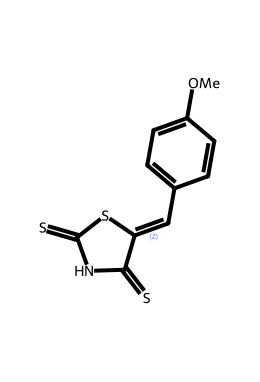 COc1ccc(/C=C2\SC(=S)NC2=S)cc1